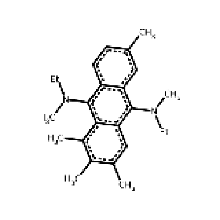 CCN(C)c1c2cc(C)ccc2c(N(C)CC)c2c(C)c(C)c(C)cc12